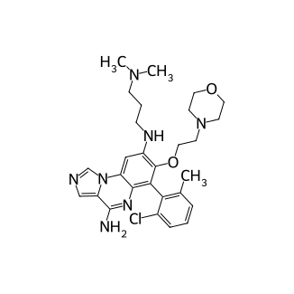 Cc1cccc(Cl)c1-c1c(OCCN2CCOCC2)c(NCCCN(C)C)cc2c1nc(N)c1cncn12